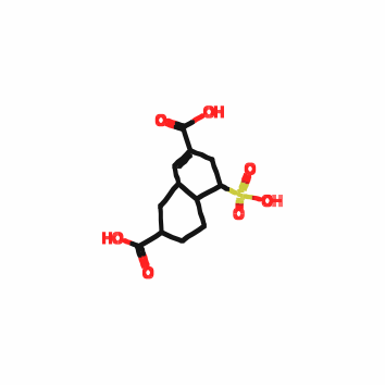 O=C(O)C1=CC2CC(C(=O)O)CCC2C(S(=O)(=O)O)C1